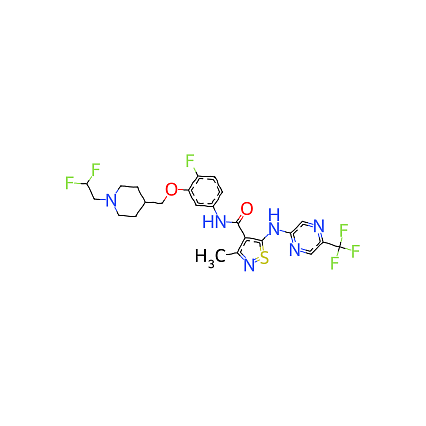 Cc1nsc(Nc2cnc(C(F)(F)F)cn2)c1C(=O)Nc1ccc(F)c(OCC2CCN(CC(F)F)CC2)c1